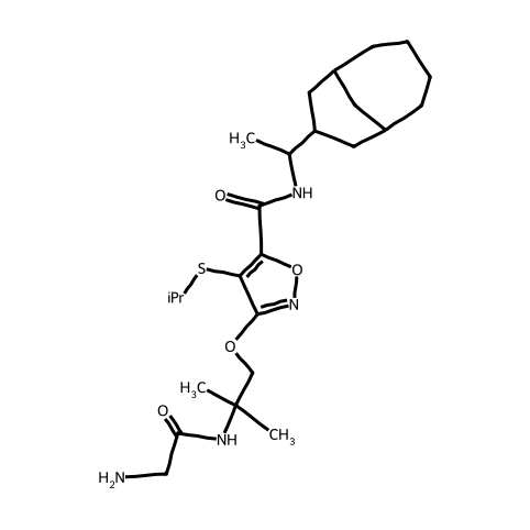 CC(C)Sc1c(OCC(C)(C)NC(=O)CN)noc1C(=O)NC(C)C1CC2CCCCC(C2)C1